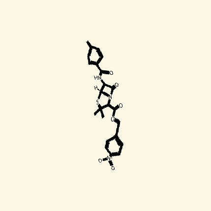 Cc1ccc(C(=O)NC2C(=O)N3C(C(=O)OCc4ccc([N+](=O)[O-])cc4)C(C)(C)S[C@@H]23)cc1